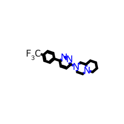 FC(F)(F)c1ccc(-c2ccc(N3CCN4CCCCC4C3)nn2)cc1